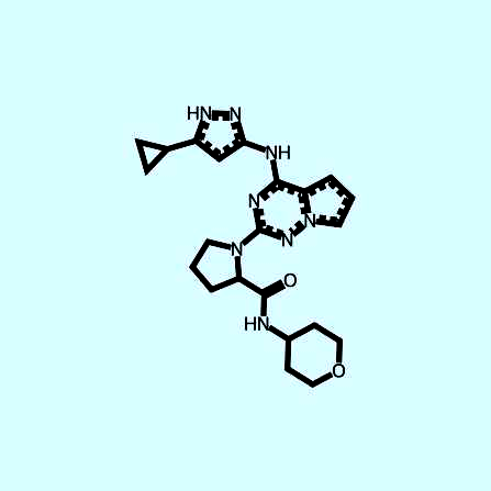 O=C(NC1CCOCC1)C1CCCN1c1nc(Nc2cc(C3CC3)[nH]n2)c2cccn2n1